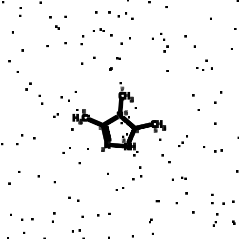 CC1=NNC(C)N1C